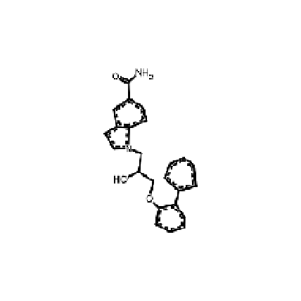 NC(=O)c1ccc2c(ccn2CC(O)COc2ccccc2-c2ccccc2)c1